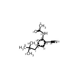 CC(=O)Nc1sc(CC(C)(C)C)cc1C#N